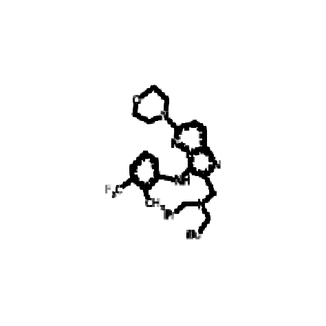 CCC(C)CN(Cc1nc2ccc(N3CCOCC3)nn2c1Nc1cccc(C(F)(F)F)c1C)CC(C)C